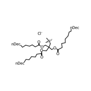 CCCCCCCCCCCCCCCCCC(=O)OCC(COC(=O)CCCCCCCCCCCCCCC)(COC(=O)CCCCCCCCCCCCCCC)C[N+](C)(C)C.[Cl-]